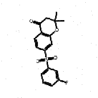 CC1(C)CC(=O)c2ccc(S(=O)(=O)c3cccc(F)c3)cc2O1